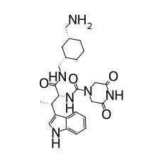 C[C@@H](c1c[nH]c2ccccc12)[C@@H](NC(=O)N1CC(=O)NC(=O)C1)C(=O)NC[C@H]1CCC[C@@H](CN)C1